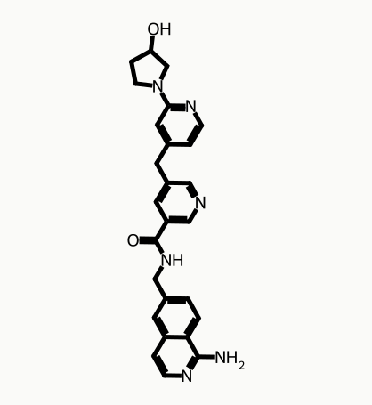 Nc1nccc2cc(CNC(=O)c3cncc(Cc4ccnc(N5CCC(O)C5)c4)c3)ccc12